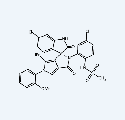 COc1ccccc1-n1cc2c(c1C(C)C)[C@@]1(C(=O)NC3=CC(Cl)CC=C31)N(c1cc(Cl)ccc1NS(C)(=O)=O)C2=O